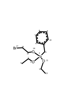 CCO[Si](Cc1ccccc1)(OCC)OCCBr